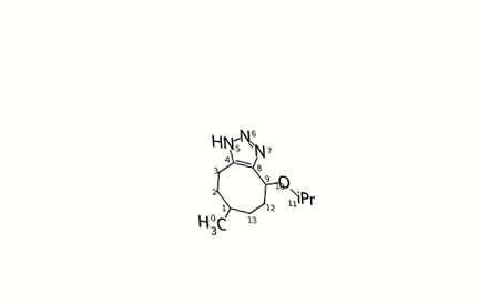 CC1CCc2[nH]nnc2C(OC(C)C)CC1